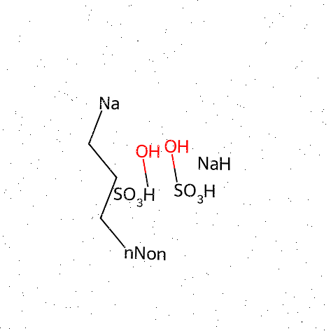 CCCCCCCCCCC[CH2][Na].O=S(=O)(O)O.O=S(=O)(O)O.[NaH]